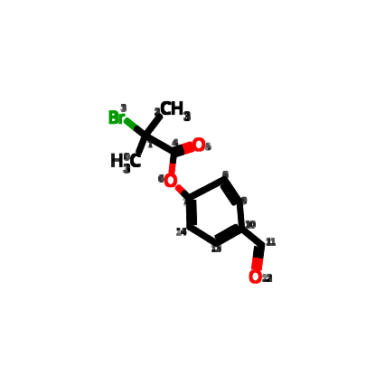 CC(C)(Br)C(=O)Oc1ccc(C=O)cc1